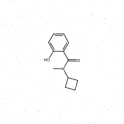 CN(C(=O)c1ccccc1O)C1CCC1